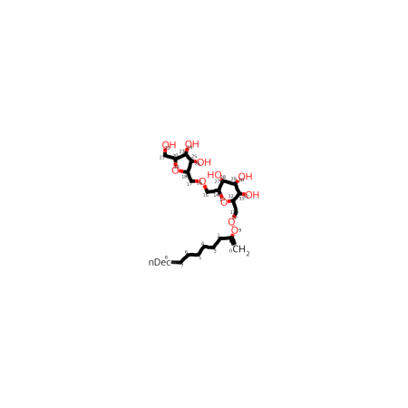 C=C(CCCCCCCCCCCCCCCC)OOCC1OC(COCC2OC(CO)C(O)C2O)C(O)C(O)C1O